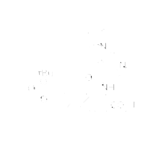 CC(C)(C)OC(=O)Oc1ccc(-c2ccc(C(=O)O)c(NC(=O)c3cncc(-n4cccc4)c3)c2)cc1